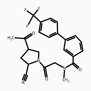 CC(=O)C1CC(C#N)N(C(=O)CN(C)C(=O)c2cccc(-c3ccc(C(F)(F)F)cc3)c2)C1